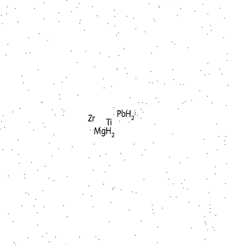 [MgH2].[PbH2].[Ti].[Zr]